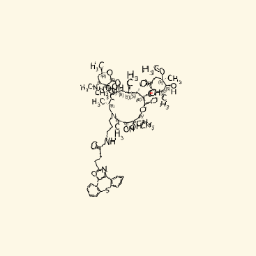 CC[C@H]1OC(=O)[C@H](C)[C@@H](O[C@H]2C[C@@](C)(OC)[C@@H](O)[C@H](C)O2)[C@H](C)[C@@H](O[C@@H]2O[C@H](C)C[C@H](N(C)C)[C@H]2O)[C@](C)(O)C[C@@H](C)CN(CCCNC(=O)CCc2nc3c(o2)-c2ccccc2Sc2ccccc2-3)[C@H](C)[C@@H](O)[C@]1(C)O